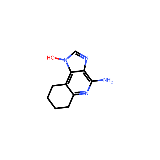 Nc1nc2c(c3c1ncn3O)CCCC2